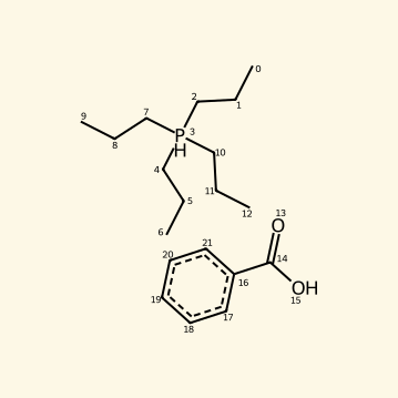 CCC[PH](CCC)(CCC)CCC.O=C(O)c1ccccc1